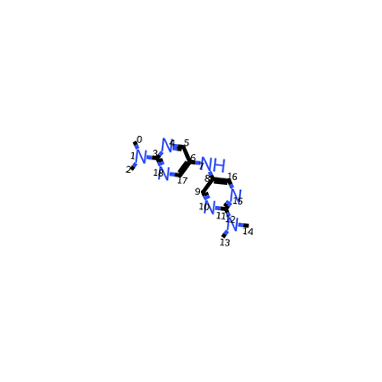 CN(C)c1ncc(Nc2cnc(N(C)C)nc2)cn1